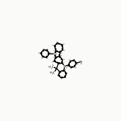 CC1(C)c2ccccc2N(c2ccc(Br)cc2)c2cc3c4ccccc4n(-c4ccccc4)c3cc21